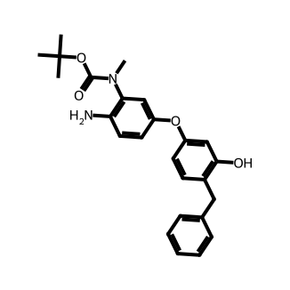 CN(C(=O)OC(C)(C)C)c1cc(Oc2ccc(Cc3ccccc3)c(O)c2)ccc1N